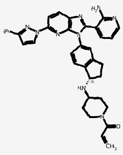 C=CC(=O)N1CCC(N[C@H]2CCc3cc(-n4c(-c5cccnc5N)nc5ccc(-n6ccc(C(C)C)n6)nc54)ccc32)CC1